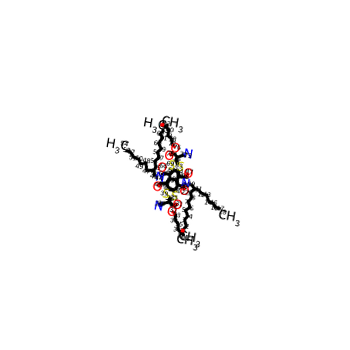 CCCCCCCCCCC(CCCCCCCC)Cn1c(=O)c2c3sc(=C(C#N)C(=O)OCCCCCC)sc3c3c(=O)n(CC(CCCCCCCC)CCCCCCCCCC)c(=O)c4c5sc(=C(C#N)C(=O)OCCCCCC)sc5c(c1=O)c2c34